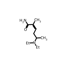 CCN(CC)C(C)CC=C(C)C(N)=O